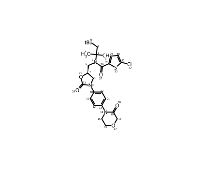 CC(C)(C)CC(C)(C)N(C[C@H]1CN(c2ccc(N3CCOCC3=O)cc2)C(=O)O1)C(=O)c1ccc(Cl)s1